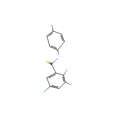 Oc1c(Br)cc(Cl)cc1C(=S)Nc1ccc(Br)cc1